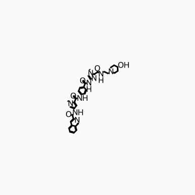 Cn1cc(NC(=O)c2cc3ccccc3cn2)cc1C(=O)Nc1ccc(C(=O)Nc2cn(C)c(C(=O)NCCN3CCC(O)CC3)n2)cc1